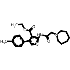 CCOC(=O)c1c(-c2ccc(C)cc2)csc1NC(=O)CN1CCCCCC1